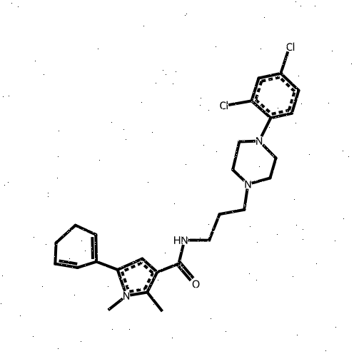 Cc1c(C(=O)NCCCN2CCN(c3ccc(Cl)cc3Cl)CC2)cc(C2=CCCC=C2)n1C